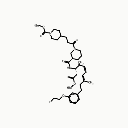 C=C(/C=N\C=C(/C)CCc1cccc(OCCF)c1)[C@H](CC(=O)OC(C)(C)C)NC(=O)[C@@H]1CCCN(C(=O)CCC2CCN(C(=O)OC(C)(C)C)CC2)C1